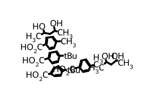 CC(C)(C)c1ccc(C(=O)O)cc1.CC(C)(C)c1ccc(C(=O)O)cc1.CC(O)CC(C)O.CC(O)CC(C)O.Cc1ccc(C(=O)O)cc1.Cc1ccc(C(=O)O)cc1